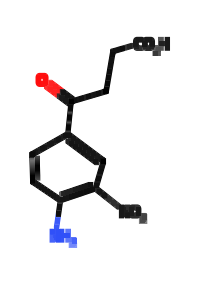 Nc1ccc(C(=O)CCC(=O)O)cc1[N+](=O)[O-]